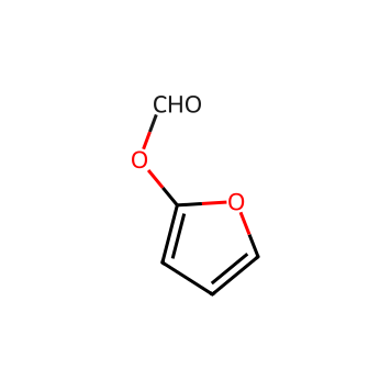 O=COc1ccco1